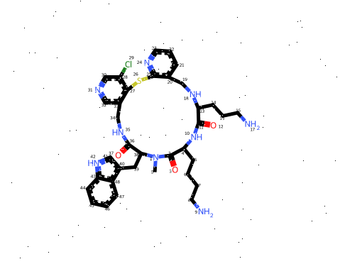 CN1C(=O)C(CCCCN)NC(=O)C(CCCN)NCc2cccnc2Sc2c(Cl)cncc2CNC(=O)C1Cc1c[nH]c2ccccc12